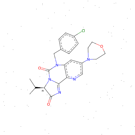 CC(C)[C@@H]1C(=O)N=C2c3ncc(N4CCOCC4)cc3N(Cc3ccc(Cl)cc3)C(=O)N21